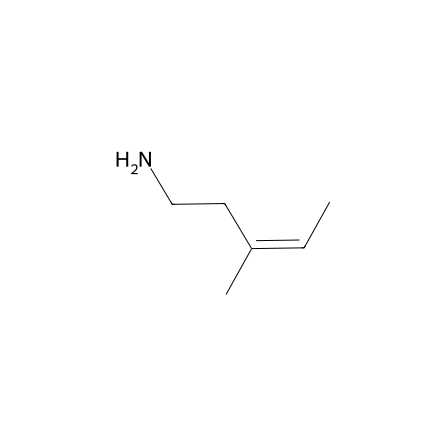 CC=C(C)CCN